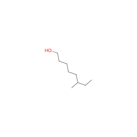 CCC(C)CCCCCO